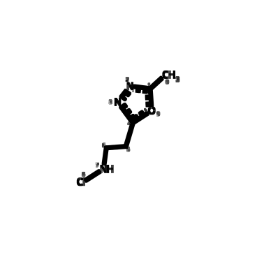 Cc1nnc(CCNCl)o1